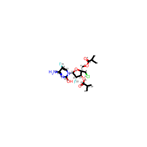 CC(C)C(=O)OC[C@@]1(CCl)O[C@@H](N2C=C(F)C(N)=NC2O)[C@@H](F)[C@@H]1OC(=O)C(C)C